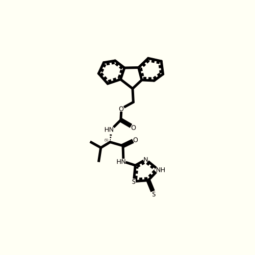 CC(C)[C@H](NC(=O)OCC1c2ccccc2-c2ccccc21)C(=O)Nc1n[nH]c(=S)s1